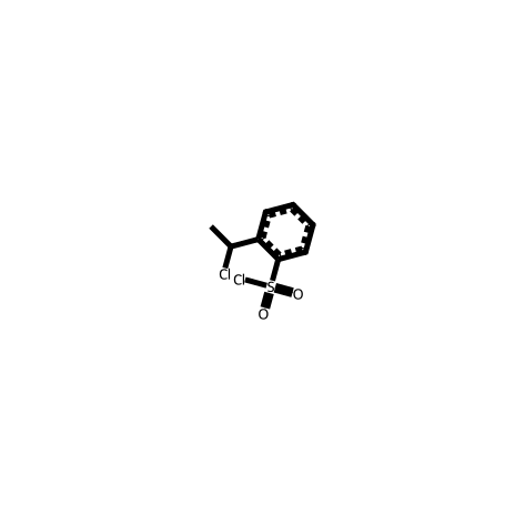 CC(Cl)c1ccccc1S(=O)(=O)Cl